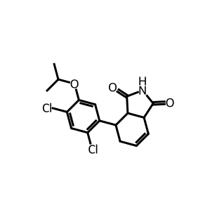 CC(C)Oc1cc(C2CC=CC3C(=O)NC(=O)C32)c(Cl)cc1Cl